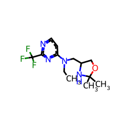 CCN(CC1COC(C)(C)N1)c1ccnc(C(F)(F)F)n1